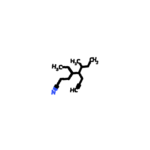 C#CCC(C(C)CC)C(CC)CCC#N